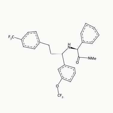 CNC(=O)[C@@H](N[C@@H](CCc1ccc(C(F)(F)F)cc1)c1cccc(OC(F)(F)F)c1)c1ccccc1